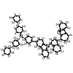 c1ccc(-c2ccc(N(c3ccc(-c4ccccc4)cc3)c3ccc(-c4ccc5c(c4)c4ccccc4n5-c4ccc(-c5cccc6c5oc5ccccc56)c5ccccc45)cc3)cc2)cc1